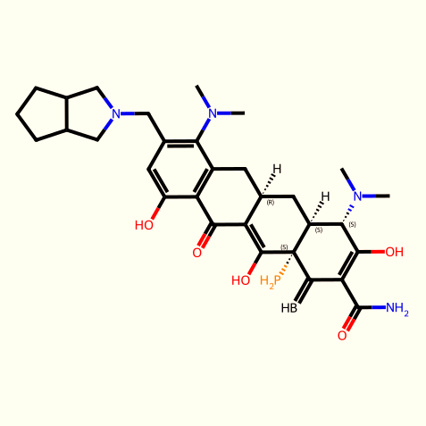 B=C1C(C(N)=O)=C(O)[C@@H](N(C)C)[C@@H]2C[C@@H]3Cc4c(c(O)cc(CN5CC6CCCC6C5)c4N(C)C)C(=O)C3=C(O)[C@]12P